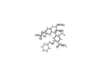 CC(=O)NC(Cc1ccc(OP(=O)(O)O)cc1)C(=O)NC(C)c1ccc(OCC2CCCCC2)c(C(N)=O)c1